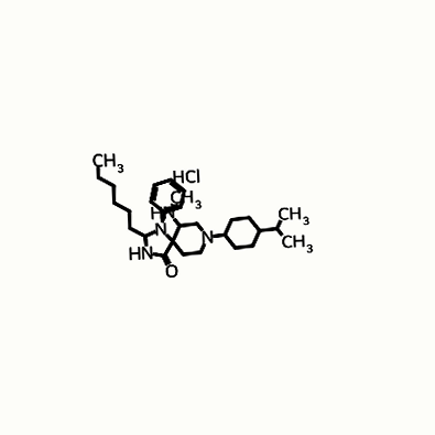 CCCCCCC1NC(=O)C2(CCN(C3CCC(C(C)C)CC3)CC2NC)N1c1ccccc1.Cl